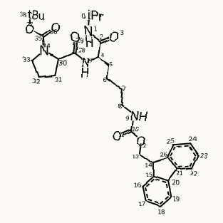 CC(C)NC(=O)[C@@H](CCCCNC(=O)OCC1c2ccccc2-c2ccccc21)NC(=O)C1CCCN1C(=O)OC(C)(C)C